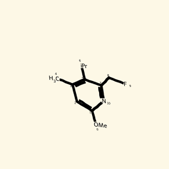 COc1cc(C)c(C(C)C)c(CF)n1